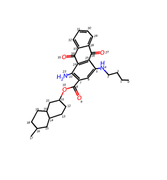 CCCCNc1cc(C(=O)OC2CCC3CC(C)CCC3C2)c(N)c2c1C(=O)c1ccccc1C2=O